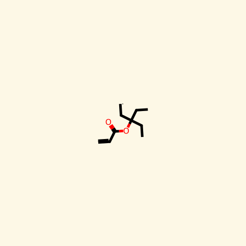 [CH2]CC(CC)(CC)OC(=O)C=C